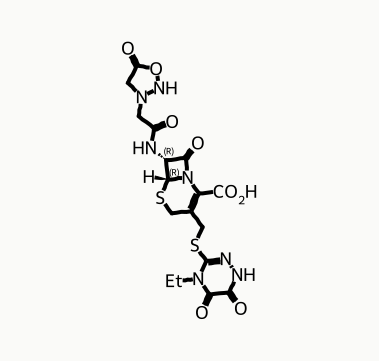 CCn1c(SCC2=C(C(=O)O)N3C(=O)[C@@H](NC(=O)CN4CC(=O)ON4)[C@H]3SC2)n[nH]c(=O)c1=O